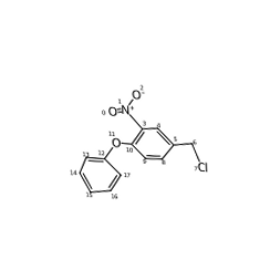 O=[N+]([O-])c1cc(CCl)ccc1Oc1ccccc1